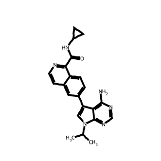 CC(C)n1cc(-c2ccc3c(C(=O)NC4CC4)nccc3c2)c2c(N)ncnc21